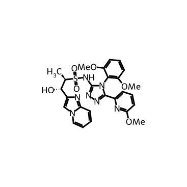 COc1cccc(-c2nnc(NS(=O)(=O)[C@H](C)[C@@H](O)c3cn4ccccc4n3)n2-c2c(OC)cccc2OC)n1